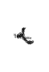 CC[Si](CC)(CC)O[C@H](C)[C@H]1C(=O)N2C(C(=O)OCc3ccc(N=[N+]=[N-])cc3)=C(/C=C/COc3ccc(COc4ccc5nc6ccc(=O)cc-6oc5c4)cc3OC)[C@H](C)[C@H]12